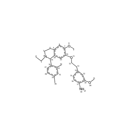 CCN1CCc2cc(OC)c(OCCc3ccc(N)c(OC)c3)cc2C1c1ccc(C)cc1C